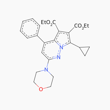 CCOC(=O)c1c(C(=O)OCC)c2c(-c3ccccc3)cc(N3CCOCC3)nn2c1C1CC1